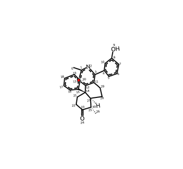 Cc1nc(-c2cccc(O)c2)c2c(n1)[C@@]1(c3ccccc3)CCC(=O)[C@@H](C)[C@@H]1CC2